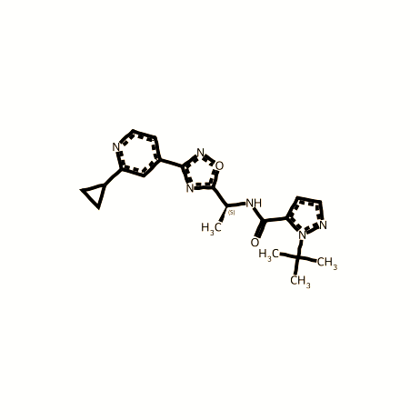 C[C@H](NC(=O)c1ccnn1C(C)(C)C)c1nc(-c2ccnc(C3CC3)c2)no1